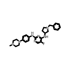 CN1CCN(c2ccc(Nc3ncc(F)c(NC4CCN(Cc5ccccc5)C4)n3)cc2)CC1